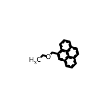 CCOCc1cc2cccc3ccc4cccc1c4c32